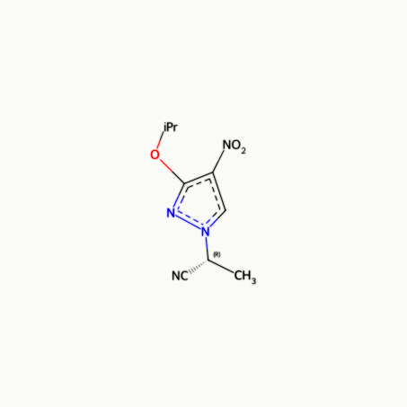 CC(C)Oc1nn([C@H](C)C#N)cc1[N+](=O)[O-]